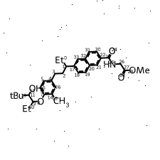 CCC(CCc1ccc(OC(CC)C(O)C(C)(C)C)c(C)c1)c1ccc2cc(C(=O)NCC(=O)OC)ccc2c1